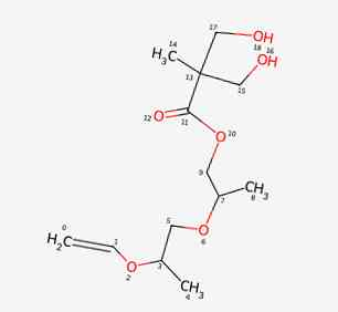 C=COC(C)COC(C)COC(=O)C(C)(CO)CO